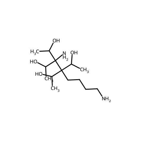 CC(O)C(N)(C(C)O)C(CCCCN)(C(C)O)C(C)O